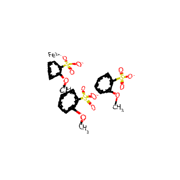 COc1ccccc1S(=O)(=O)[O-].COc1ccccc1S(=O)(=O)[O-].COc1ccccc1S(=O)(=O)[O-].[Fe+3]